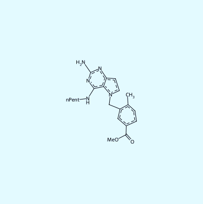 CCCCCNc1nc(N)nc2ccn(Cc3cc(C(=O)OC)ccc3C)c12